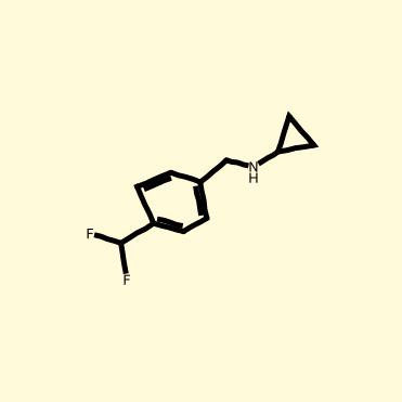 FC(F)c1ccc(CNC2CC2)cc1